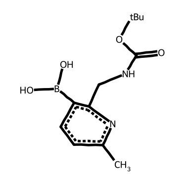 Cc1ccc(B(O)O)c(CNC(=O)OC(C)(C)C)n1